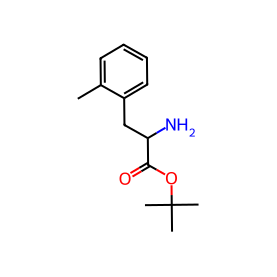 Cc1ccccc1CC(N)C(=O)OC(C)(C)C